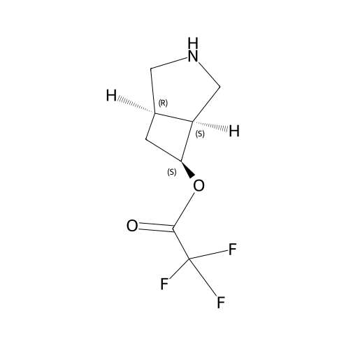 O=C(O[C@H]1C[C@H]2CNC[C@H]21)C(F)(F)F